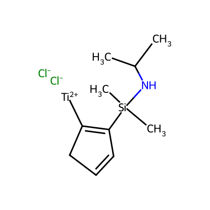 CC(C)N[Si](C)(C)C1=[C]([Ti+2])CC=C1.[Cl-].[Cl-]